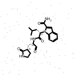 CC(C)C[C@@H](C(=O)N[C@H](C=O)C[C@@H]1CCNC1=O)n1c(C(N)=O)cc2ccccc21